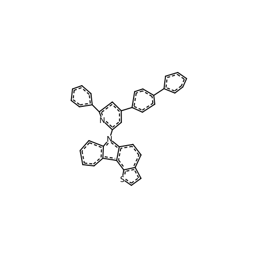 c1ccc(-c2ccc(-c3cc(-c4ccccc4)nc(-n4c5ccccc5c5c6sccc6ccc54)c3)cc2)cc1